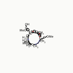 COCCOCCOC1C[C@@H]2CC[C@@H](C)[C@@](O)(O2)C(=O)C(=O)N2CCCC[C@H]2C(=O)O[C@H](CC[C@@H]2CC[C@@H](OCCO)[C@H](OC)C2)CC(=O)[C@H](C)/C=C(\C)[C@@H](O)[C@@H](OC)C(=O)[C@H](C)C[C@H](C)/C=C/C=C/C=C/1C